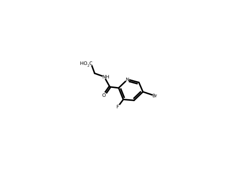 O=C(O)CNC(=O)c1ncc(Br)cc1F